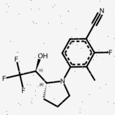 Cc1c(N2CCC[C@@H]2[C@H](O)C(F)(F)F)ccc(C#N)c1F